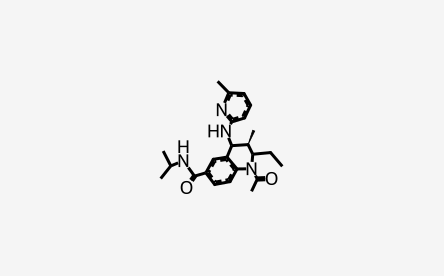 CCC1[C@H](C)C(Nc2cccc(C)n2)c2cc(C(=O)NC(C)C)ccc2N1C(C)=O